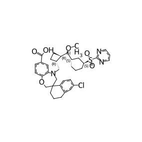 CO[C@@H]([C@H]1CCC[C@H](S(=O)(=O)c2ncccn2)C1)[C@@H]1CC[C@H]1CN1CC2(CCCc3cc(Cl)ccc32)COc2ccc(C(=O)O)cc21